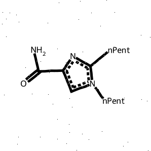 CCCCCc1nc(C(N)=O)cn1CCCCC